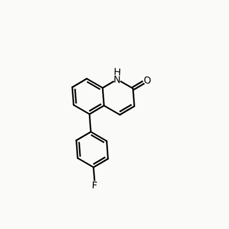 O=c1ccc2c(-c3ccc(F)cc3)cccc2[nH]1